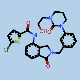 O=C(Nc1cccc2c1CN(Cc1cccc(N3CCCN(CCO)C3=O)c1)C2=O)c1ccc(Cl)s1